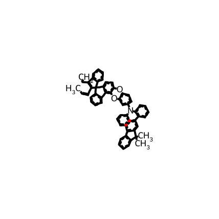 C=CC1=C(/C=C\C)C2(c3ccccc31)c1ccccc1-c1c2ccc2c1Oc1cc(N(c3ccccc3)c3ccccc3-c3ccc4c(c3)C(C)(C)c3ccccc3-4)ccc1O2